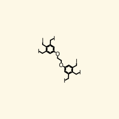 ICc1cc(OCCOc2cc(CI)c(CI)c(CI)c2)cc(CI)c1CI